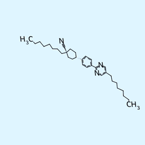 CCCCCCCCc1cnc(-c2ccc([C@H]3CC[C@@](C#N)(CCCCCCCC)CC3)cc2)nc1